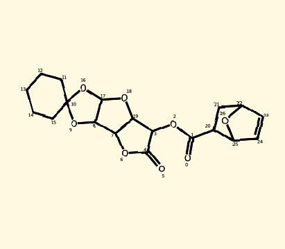 O=C(OC1C(=O)OC2C3OC4(CCCCC4)OC3OC12)C1CC2C=CC1O2